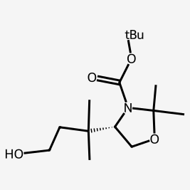 CC(C)(C)OC(=O)N1[C@@H](C(C)(C)CCO)COC1(C)C